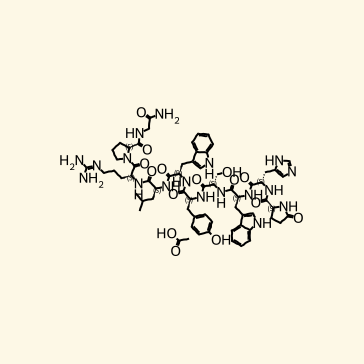 CC(=O)O.CC(C)C[C@H](NC(=O)[C@@H](Cc1c[nH]c2ccccc12)NC(=O)[C@H](Cc1ccc(O)cc1)NC(=O)[C@H](CO)NC(=O)[C@H](Cc1c[nH]c2ccccc12)NC(=O)[C@H](Cc1cnc[nH]1)NC(=O)[C@@H]1CCC(=O)N1)C(=O)N[C@@H](CCCN=C(N)N)C(=O)N1CCC[C@H]1C(=O)NCC(N)=O